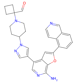 Nc1ncc(-c2cnn(C3CCN(C4(C=O)CCC4)CC3)c2)c2cc(-c3cccc4cnccc34)oc12